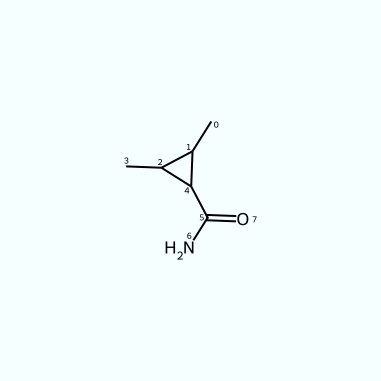 CC1C(C)C1C(N)=O